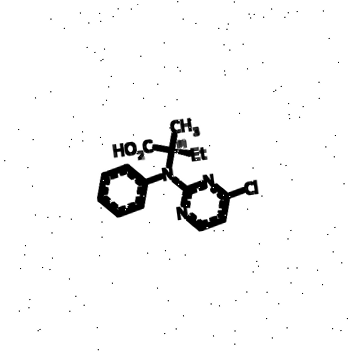 CC[C@](C)(C(=O)O)N(c1ccccc1)c1nccc(Cl)n1